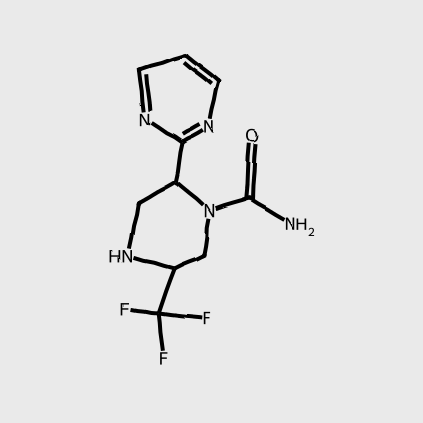 NC(=O)N1CC(C(F)(F)F)NCC1c1ncccn1